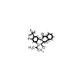 CC(C)Oc1cc(F)c(C(F)(F)F)cc1-n1c(CCl)cc2ccccc2c1=O